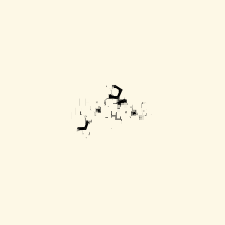 CC(C)C[C@H](N)C(=O)O.CCCC[C@H](N)C(=O)O.CC[C@H](C)[C@H](N)C(=O)O.CSCC[C@H](N)C(=O)O.O=C(O)[C@@H]1CCCN1